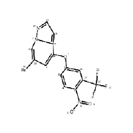 O=[N+]([O-])c1ccc(Oc2cc(Br)cn3nccc23)cc1C(F)(F)F